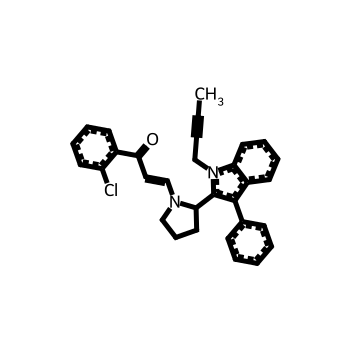 CC#CCn1c(C2CCCN2C=CC(=O)c2ccccc2Cl)c(-c2ccccc2)c2ccccc21